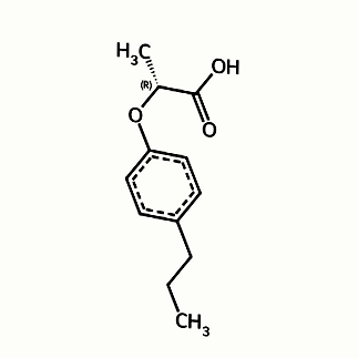 CCCc1ccc(O[C@H](C)C(=O)O)cc1